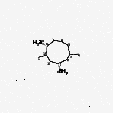 B[C@H]1CC(C)CCC[C@@H](B)C(C)C1